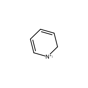 C1=CC[N+]C=C1